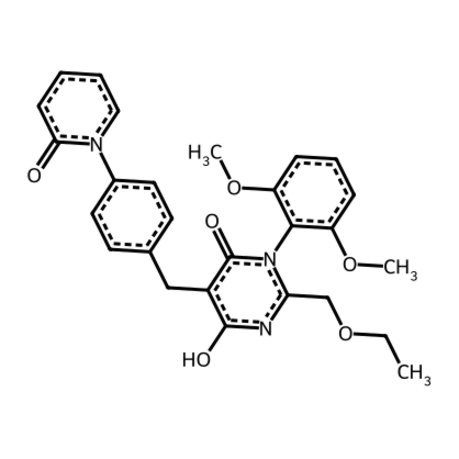 CCOCc1nc(O)c(Cc2ccc(-n3ccccc3=O)cc2)c(=O)n1-c1c(OC)cccc1OC